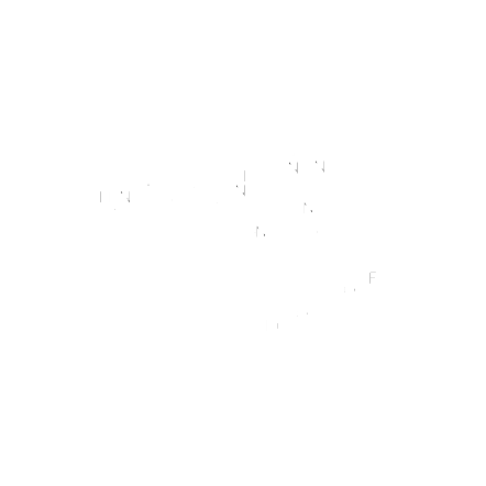 CCOc1cc2nc(NCCCCN)c3nnc(C)n3c2cc1OCC